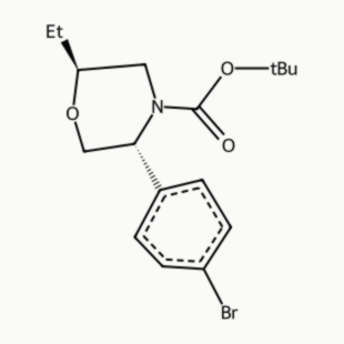 CC[C@H]1CN(C(=O)OC(C)(C)C)[C@H](c2ccc(Br)cc2)CO1